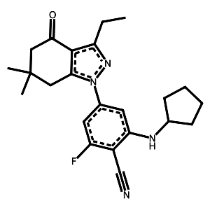 CCc1nn(-c2cc(F)c(C#N)c(NC3CCCC3)c2)c2c1C(=O)CC(C)(C)C2